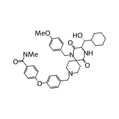 CNC(=O)c1ccc(Oc2ccc(CN3CCC4(CC3)C(=O)N[C@H]([C@H](O)C3CCCCC3)C(=O)N4Cc3ccc(OC)cc3)cc2)cc1